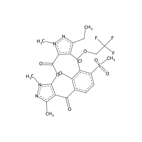 CCc1nn(C)c(C(=O)Oc2c(C(=O)c3ccc(S(C)(=O)=O)c(COCC(F)(F)F)c3Cl)c(C)nn2C)c1Cl